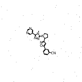 Cn1c(-c2cncnc2)nnc1N1CCCC1c1cc(-c2cccc(C#N)c2)on1